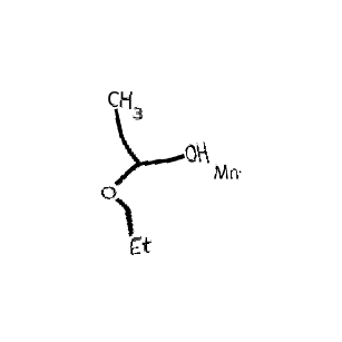 CCOC(C)O.[Mn]